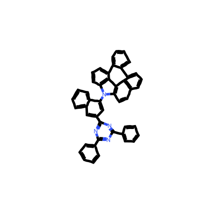 c1ccc(-c2nc(-c3ccccc3)nc(-c3cc(-n4c5cccc6c5c5c7c(cccc7ccc54)-c4ccccc4-6)c4ccccc4c3)n2)cc1